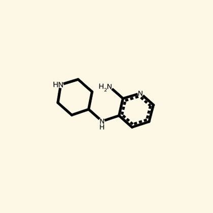 Nc1ncccc1NC1CCNCC1